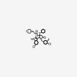 O=C1C[C@@](Sc2ccccc2)(C(=O)NCCN2CCOCC2)[C@H](c2c[nH]c3cc(Cl)ccc23)N1Cc1ccc(Cl)c(F)c1